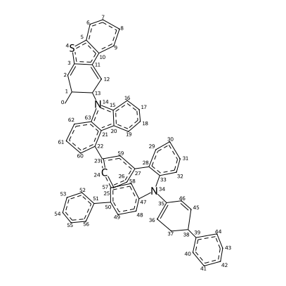 CC1C=c2sc3ccccc3c2=CC1n1c2ccccc2c2c(-c3cccc(-c4ccccc4N(C4=CCC(c5ccccc5)C=C4)c4ccc(-c5ccccc5)cc4)c3)cccc21